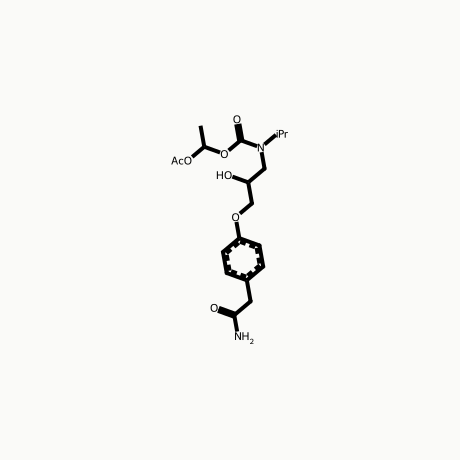 CC(=O)OC(C)OC(=O)N(CC(O)COc1ccc(CC(N)=O)cc1)C(C)C